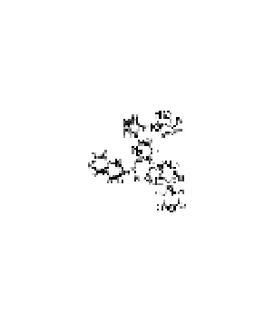 O=C(O)C(F)(F)F.c1ccc2nc(CCc3nc4c(N5CCOCC5)ccnn4c3-c3ccc(-c4nnn[nH]4)nc3)ccc2c1